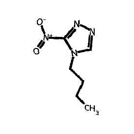 CCCCn1cnnc1[N+](=O)[O-]